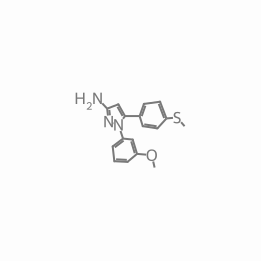 COc1cccc(-n2nc(N)cc2-c2ccc(SC)cc2)c1